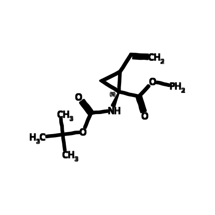 C=CC1C[C@@]1(NC(=O)OC(C)(C)C)C(=O)OP